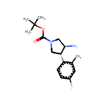 Cc1cc(F)ccc1[C@@H]1CN(C(=O)OC(C)(C)C)C[C@H]1N